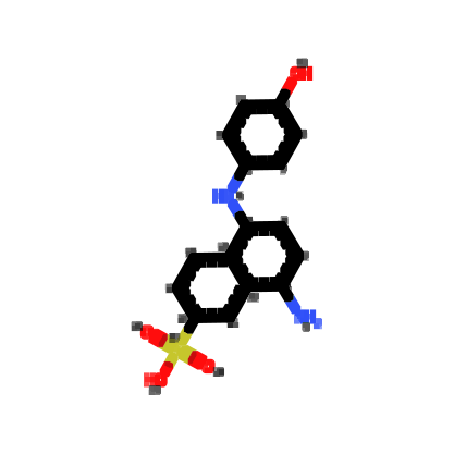 Nc1ccc(Nc2ccc(O)cc2)c2ccc(S(=O)(=O)O)cc12